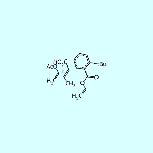 C/C=C/C(=O)O.C=COC(=O)c1ccccc1C(C)(C)C.C=COC(C)=O